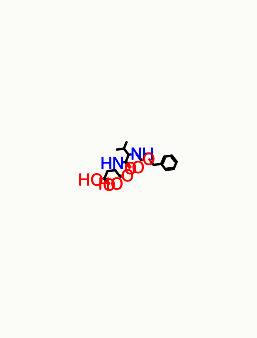 CC(C)C(NC(=O)OCc1ccccc1)C(=O)NC(CC(=O)O)C(=O)O